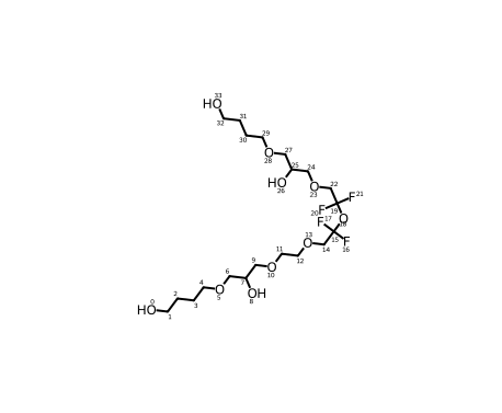 OCCCCOCC(O)COCCOCC(F)(F)OC(F)(F)COCC(O)COCCCCO